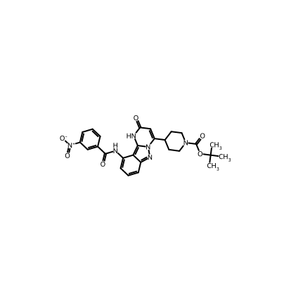 CC(C)(C)OC(=O)N1CCC(c2cc(=O)[nH]c3c4c(NC(=O)c5cccc([N+](=O)[O-])c5)cccc4nn23)CC1